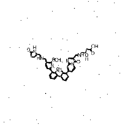 COc1nc(-c2cccc(-c3cccc(-c4ccn5c(=O)c(CNCC(O)CC(=O)O)cnc5c4)c3Cl)c2Cl)ccc1CNCC1CCC(=O)N1